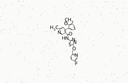 COc1ccccc1-c1cc(C)ncc1C(=O)Nc1nnc(OCc2ccc(F)cn2)s1